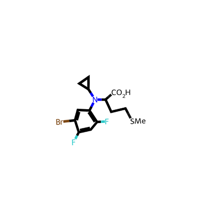 CSCCC(C(=O)O)N(c1cc(Br)c(F)cc1F)C1CC1